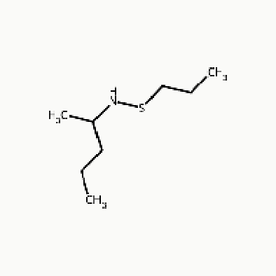 CCCSNC(C)CCC